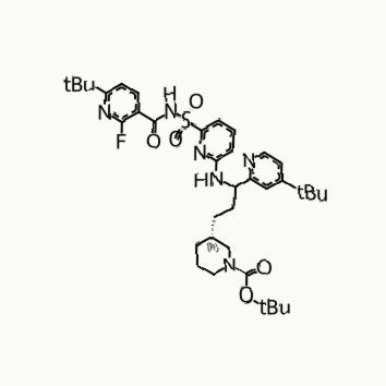 CC(C)(C)OC(=O)N1CCC[C@H](CCC(Nc2cccc(S(=O)(=O)NC(=O)c3ccc(C(C)(C)C)nc3F)n2)c2cc(C(C)(C)C)ccn2)C1